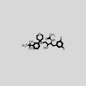 CC(=O)NC(Cc1cc(F)cc(F)c1)C(O)CNC1(c2cccc(C(C)(C)C)c2)CCOCC1